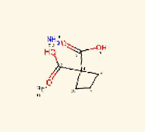 N.O=C(O)C1(C(=O)O)CCC1.[Pt]